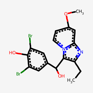 CCc1nc2cc(OC)ccn2c1C(O)c1cc(Br)c(O)c(Br)c1